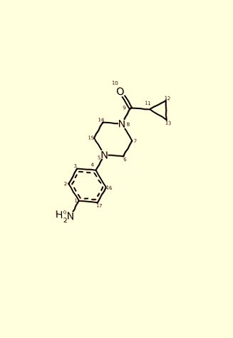 Nc1ccc(N2CCN(C(=O)C3CC3)CC2)cc1